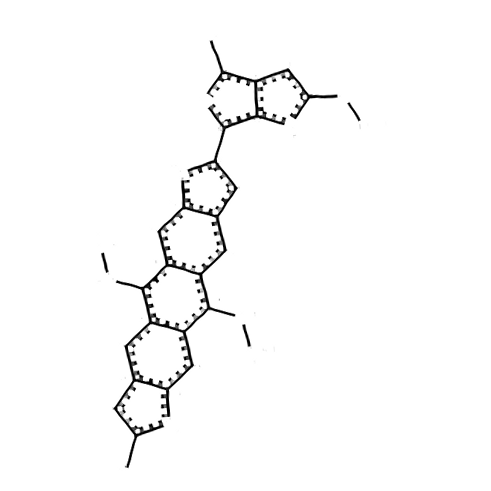 CCCCCCCCOc1cc2c(C)sc(-c3cc4cc5c(OCCCCCCCC)c6cc7sc(C)cc7cc6c(OCCCCCCCC)c5cc4s3)c2s1